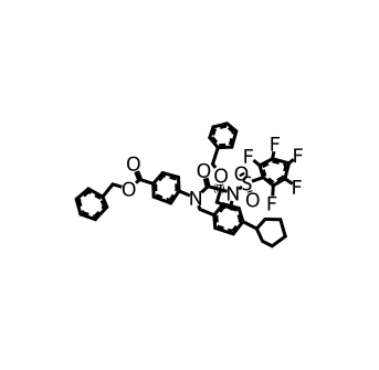 O=C(OCc1ccccc1)c1ccc(N(Cc2ccc(C3CCCCC3)cc2)C(=O)[C@]2(OCc3ccccc3)CCN2S(=O)(=O)c2c(F)c(F)c(F)c(F)c2F)cc1